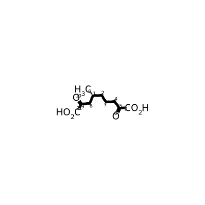 C[C@H](CCCC(=O)C(=O)O)CC(=O)C(=O)O